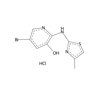 Cc1csc(Nc2ncc(Br)cc2O)n1.Cl